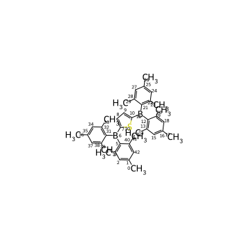 Cc1cc(C)c(B(c2ccc(B(c3c(C)cc(C)cc3C)c3c(C)cc(C)cc3C)s2)c2c(C)cc(C)cc2C)c(C)c1